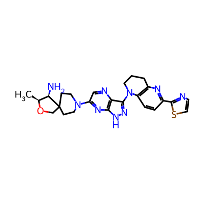 C[C@@H]1OCC2(CCN(c3cnc4c(N5CCCc6nc(-c7nccs7)ccc65)n[nH]c4n3)CC2)[C@@H]1N